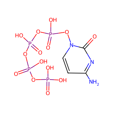 Nc1ccn(OP(=O)(O)OP(=O)(O)OP(=O)(O)OP(=O)(O)O)c(=O)n1